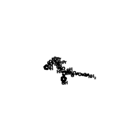 CCCO[C@H](C[C@H](C(C)C)N(CCC)C(=O)[C@@H](NC(=O)[C@H]1CCCCN1C)[C@@H](C)CC)c1nc(C(=O)N[C@@H](CCc2ccc(O)cc2)C[C@H](C)C(=O)NNC(=O)OCCOCCOCCN)cs1